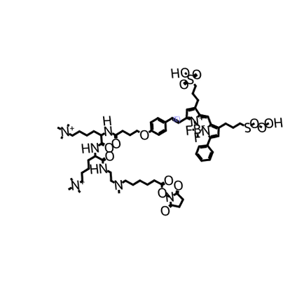 CN(CCCCCC(=O)ON1C(=O)CCC1=O)CCNC(=O)C(CCCC[N+](C)(C)C)NC(=O)C(CCCC[N+](C)(C)C)NC(=O)CCCOc1ccc(/C=C/C2=[N+]3C(=Cc4c(CCCSOOO)cc(-c5ccccc5)n4[B-]3(F)F)C(CCCS(=O)(=O)O)=C2)cc1